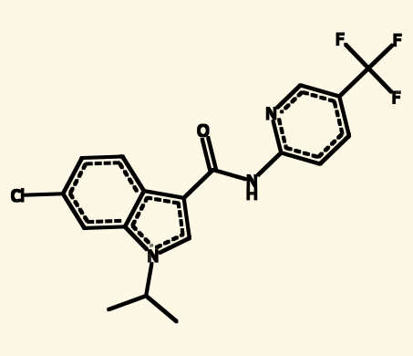 CC(C)n1cc(C(=O)Nc2ccc(C(F)(F)F)cn2)c2ccc(Cl)cc21